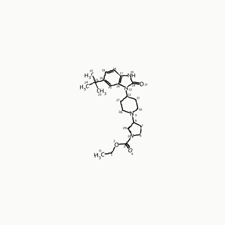 CCOC(=O)N1CCC(N2CCC(n3c(=O)[nH]c4ccc(C(C)(C)C)cc43)CC2)C1